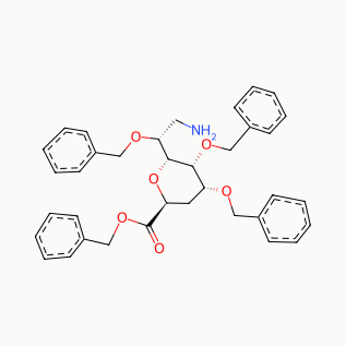 NC[C@@H](OCc1ccccc1)[C@H]1O[C@H](C(=O)OCc2ccccc2)C[C@@H](OCc2ccccc2)[C@H]1OCc1ccccc1